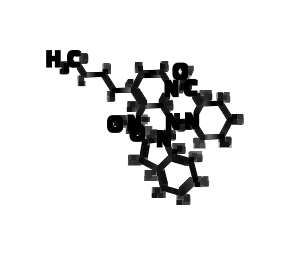 CCCCc1ccnc(N(N2CCCCC2=C=O)n2ccc3ccccc32)c1[N+](=O)[O-]